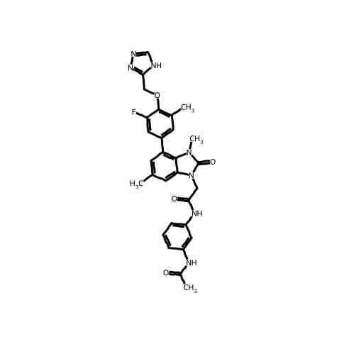 CC(=O)Nc1cccc(NC(=O)Cn2c(=O)n(C)c3c(-c4cc(C)c(OCc5nnc[nH]5)c(F)c4)cc(C)cc32)c1